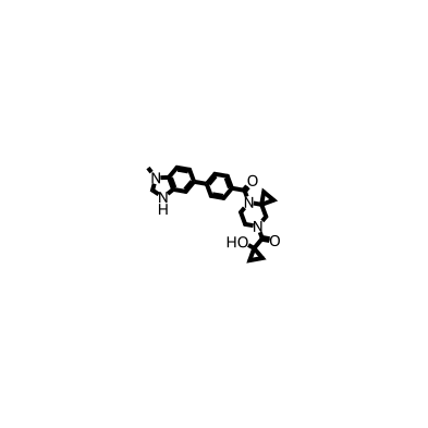 CN1CNc2cc(-c3ccc(C(=O)N4CCN(C(=O)C5(O)CC5)CC45CC5)cc3)ccc21